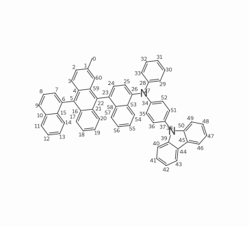 Cc1ccc2c(-c3cccc4ccccc34)c3ccccc3c(-c3ccc(N(c4ccccc4)c4ccc(-n5c6ccccc6c6ccccc65)cc4)c4ccccc34)c2c1